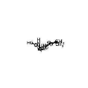 C#Cc1ccc2c(c1)NCC2c1ncnc2cnc(NC(=O)C=CC(=O)OCCCN(C)C)cc12